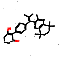 CC(C)=C(c1ccc(C2=C(O)CCCC2=O)cc1)c1cc2c(cc1C)C(C)(C)CCC2(C)C